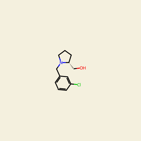 OC[C@H]1CCCN1Cc1c[c]cc(Cl)c1